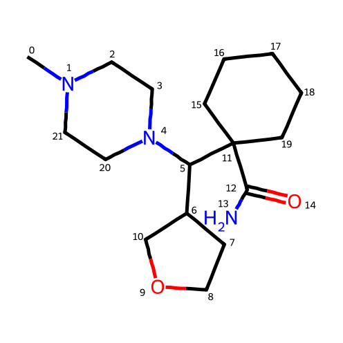 CN1CCN(C(C2CCOC2)C2(C(N)=O)CCCCC2)CC1